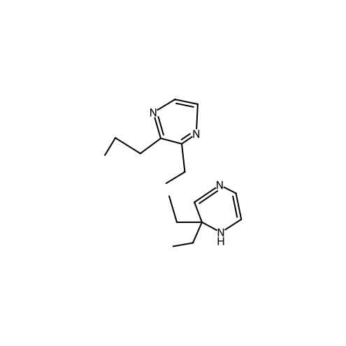 CCC1(CC)C=NC=CN1.CCCc1nccnc1CC